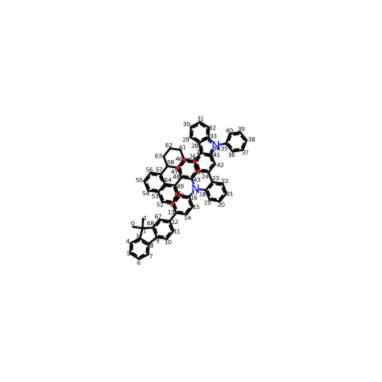 CC1(C)c2ccccc2-c2ccc(-c3ccc(N(c4ccccc4-c4ccc5c6ccccc6n(-c6ccccc6)c5c4)c4ccccc4-c4cccc5cccc(C6CCCCC6)c45)cc3)cc21